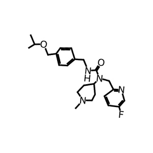 CC(C)OCc1ccc(CNC(=O)N(Cc2ccc(F)cn2)C2CCN(C)CC2)cc1